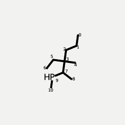 CCCC(C)(CC)C(C)PC